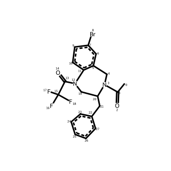 CC(=O)N1Cc2cc(Br)ccc2N(C(=O)C(F)(F)F)CC1Cc1ccccc1